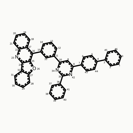 c1ccc(-c2ccc(-c3cc(-c4cccc(-c5c6ccccc6nc6c5oc5ccccc56)c4)nc(-c4ccccc4)n3)cc2)cc1